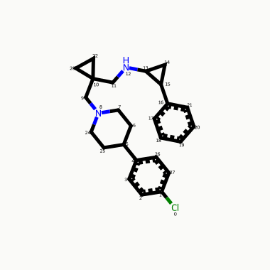 Clc1ccc(C2CCN(CC3(CNC4CC4c4ccccc4)CC3)CC2)cc1